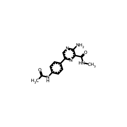 CNC(=O)c1nc(-c2ccc(NC(C)=O)cc2)cnc1N